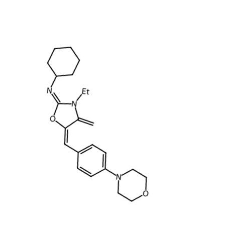 C=c1/c(=C\c2ccc(N3CCOCC3)cc2)o/c(=N/C2CCCCC2)n1CC